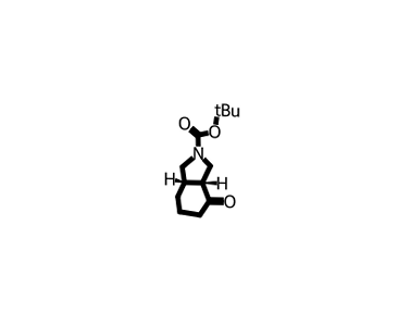 CC(C)(C)OC(=O)N1C[C@H]2CCCC(=O)[C@H]2C1